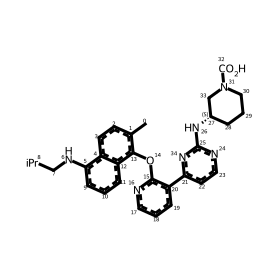 Cc1ccc2c(NCC(C)C)cccc2c1Oc1ncccc1-c1ccnc(N[C@H]2CCCN(C(=O)O)C2)n1